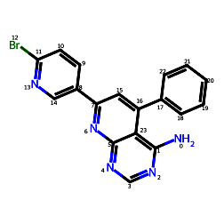 Nc1ncnc2nc(-c3ccc(Br)nc3)cc(-c3ccccc3)c12